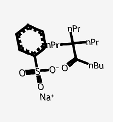 CCCCC(=O)C(CCC)(CCC)CCC.O=S(=O)([O-])c1ccccc1.[Na+]